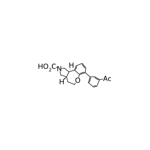 CC(=O)c1cccc(-c2cccc3c2OCC[C@@H]2CN(C(=O)O)C[C@@H]32)c1